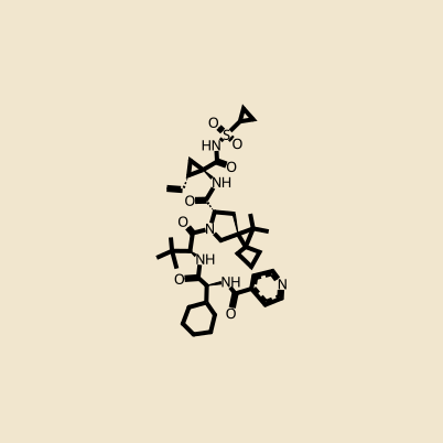 C=C[C@@H]1C[C@]1(NC(=O)[C@@H]1C[C@@]2(CN1C(=O)[C@@H](NC(=O)[C@@H](NC(=O)c1ccncc1)C1CCCCC1)C(C)(C)C)C(C)(C)C21CCC1)C(=O)NS(=O)(=O)C1CC1